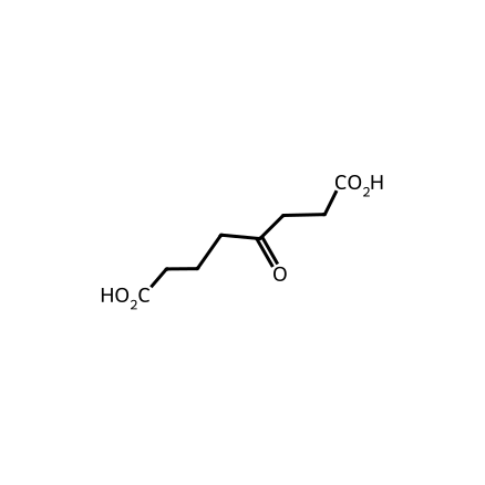 O=C(O)CCCC(=O)CCC(=O)O